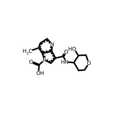 Cc1ccnc2c(C(=O)NC3CCOCC3O)cn(C(=O)O)c12